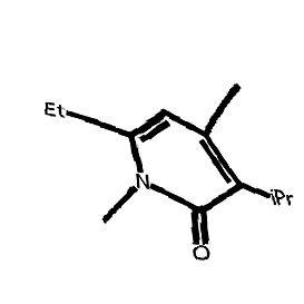 CCc1cc(C)c(C(C)C)c(=O)n1C